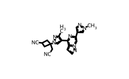 Cc1nn(C2(CC#N)CC(C#N)C2)cc1-c1nc(-c2cnn(C)c2)cn2nccc12